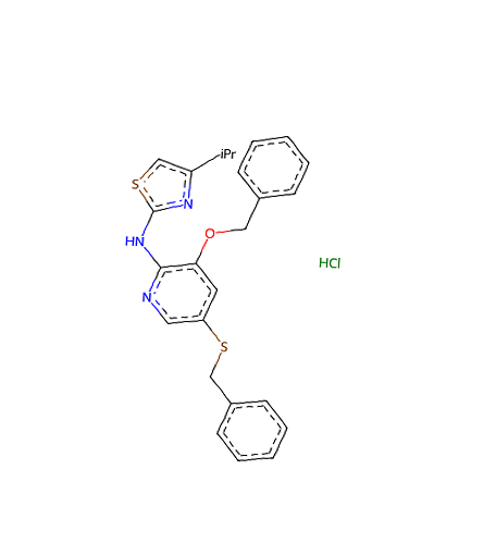 CC(C)c1csc(Nc2ncc(SCc3ccccc3)cc2OCc2ccccc2)n1.Cl